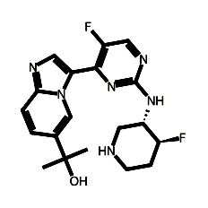 CC(C)(O)c1ccc2ncc(-c3nc(N[C@H]4CNCC[C@@H]4F)ncc3F)n2c1